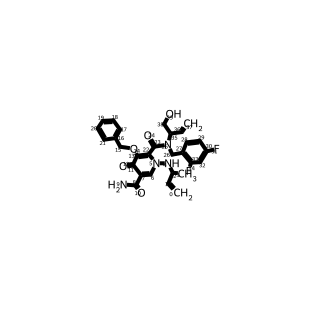 C=CC(C)Nn1cc(C(N)=O)c(=O)c(OCc2ccccc2)c1C(=O)N(Cc1ccc(F)cc1F)C(C=C)CO